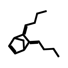 CCCC=C1C(=CCCC)C2C=CC1C2